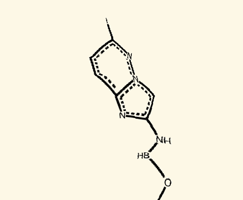 COBNc1cn2nc(I)ccc2n1